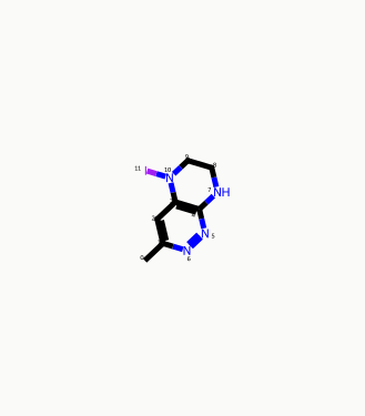 Cc1cc2c(nn1)NCCN2I